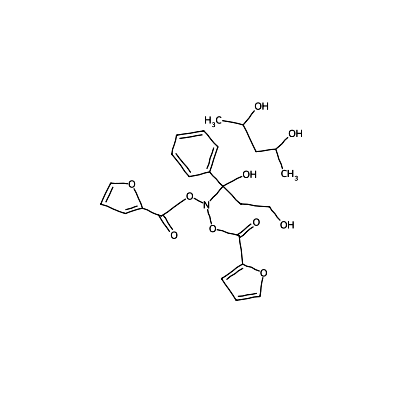 CC(O)CC(C)O.O=C(ON(OC(=O)c1ccco1)C(O)(CCO)c1ccccc1)c1ccco1